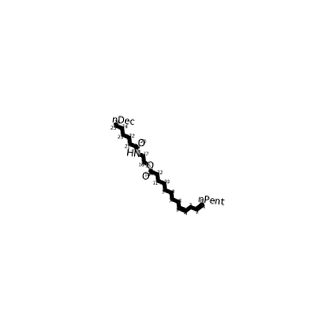 CCCCC/C=C\C/C=C\CCCCCCCC(=O)OCCNC(=O)CCCCCCCCCCCCCCC